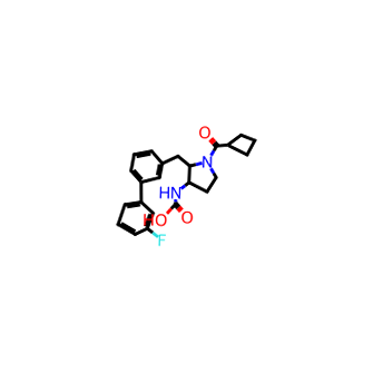 O=C(O)NC1CCN(C(=O)C2CCC2)C1Cc1cccc(-c2cccc(F)c2)c1